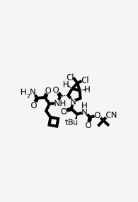 CC(C)(C#N)OC(=O)N[C@H](C(=O)N1C[C@H]2[C@@H]([C@H]1C(=O)NC(CC1CCC1)C(=O)C(N)=O)C2(Cl)Cl)C(C)(C)C